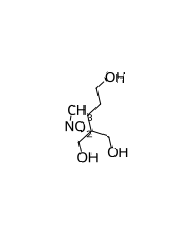 C[N+](=O)[O-].OCCCC(CO)CO